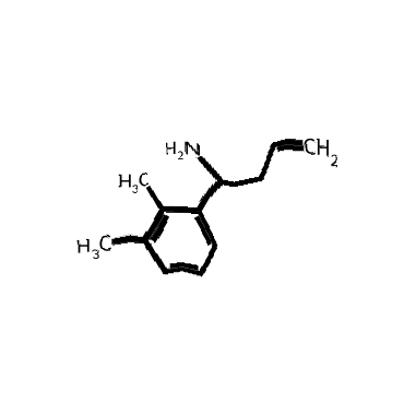 C=CCC(N)c1cccc(C)c1C